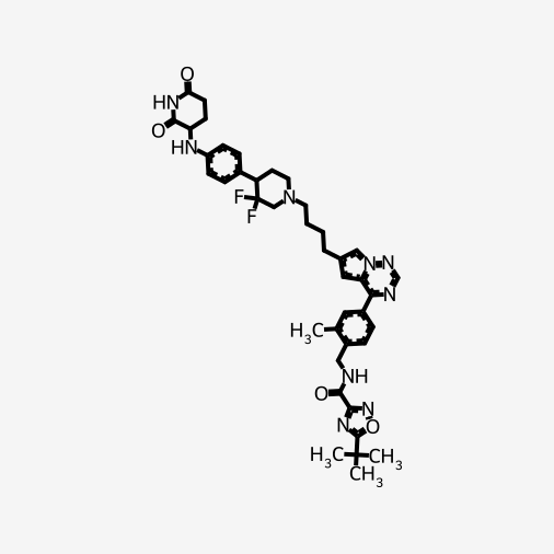 Cc1cc(-c2ncnn3cc(CCCCN4CCC(c5ccc(NC6CCC(=O)NC6=O)cc5)C(F)(F)C4)cc23)ccc1CNC(=O)c1noc(C(C)(C)C)n1